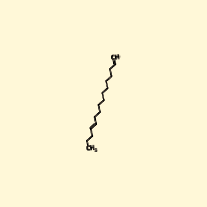 [CH]=CCCCCCCCCCC=CCCC